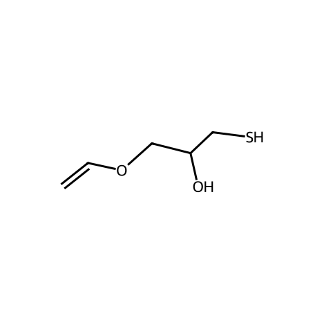 C=COCC(O)CS